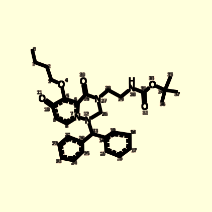 CCCCOc1c2n(ccc1=O)N(C(c1ccccc1)c1ccccc1)CN(CCNC(=O)OC(C)(C)C)C2=O